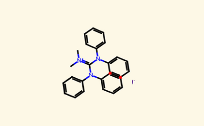 C[N+](C)=C(N(c1ccccc1)c1ccccc1)N(c1ccccc1)c1ccccc1.[I-]